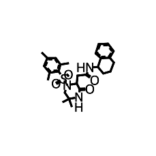 Cc1cc(C)c(S(=O)(=O)N2CC(C)(C)NC(=O)C2CC(=O)NC2CCCc3ccccc32)c(C)c1